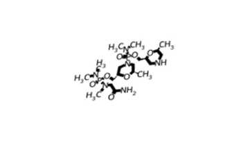 C[C@H]1CNC[C@@H](COP(=O)(N(C)C)N2C[C@@H](COP(=O)(N(C)C)N(C)CC(N)=O)O[C@@H](C)C2)O1